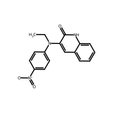 CCN(c1ccc([N+](=O)[O-])cc1)c1cc2ccccc2[nH]c1=O